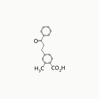 Cc1cc(CCC(=O)c2ccccc2)ccc1C(=O)O